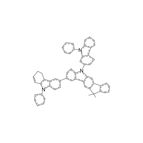 CC1(C)c2ccccc2-c2cc3c(cc21)c1cc(-c2ccc4c(c2)c2c(n4-c4ccccc4)C=CCC2)ccc1n3-c1ccc2c3ccccc3n(-c3ccccc3)c2c1